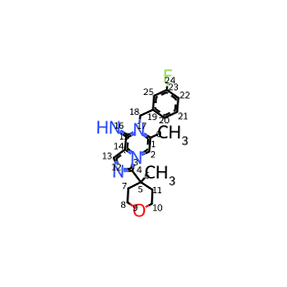 Cc1cn2c(C3(C)CCOCC3)ncc2c(=N)n1Cc1cccc(F)c1